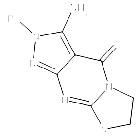 CC(C)(C)n1nc2nc3n(c(=O)c2c1N)CCS3